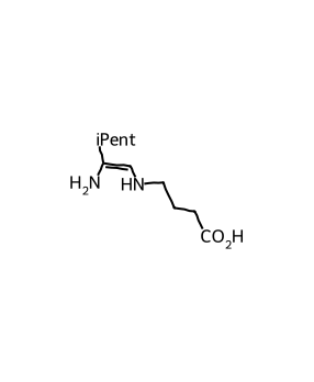 CCCC(C)/C(N)=C/NCCCC(=O)O